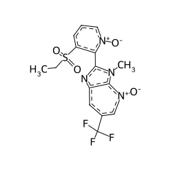 CCS(=O)(=O)c1ccc[n+]([O-])c1-c1nc2cc(C(F)(F)F)c[n+]([O-])c2n1C